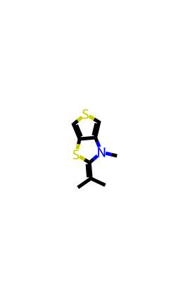 CC(C)=C1Sc2cscc2N1C